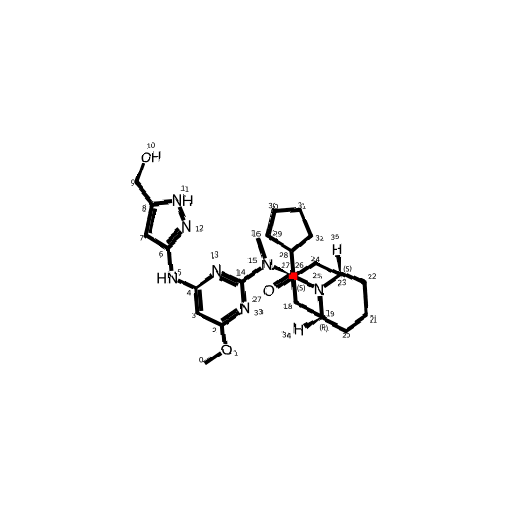 COc1cc(Nc2cc(CO)[nH]n2)nc(N(C)[C@@H]2C[C@H]3CCC[C@@H](C2)N3C(=O)C2CCCC2)n1